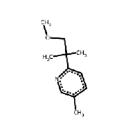 COCC(C)(C)c1ccc(C)cn1